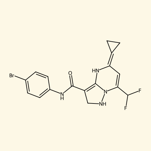 O=C(Nc1ccc(Br)cc1)C1=C2NC(=C3CC3)C=C(C(F)F)N2NC1